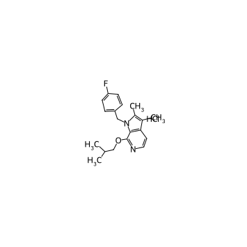 Cc1c(C)n(Cc2ccc(F)cc2)c2c(OCC(C)C)nccc12.Cl